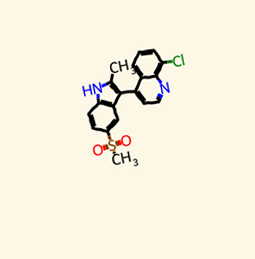 Cc1[nH]c2ccc(S(C)(=O)=O)cc2c1-c1ccnc2c(Cl)cccc12